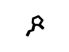 C=CC=C1CCCCC1=C